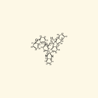 CC1(C)c2cc(-c3nc4ccccc4nc3-c3ccc(-c4cccc5oc6ccccc6c45)cc3)ccc2-c2cc3ccccc3cc21